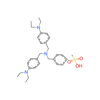 CCN(CC)c1ccc(CN(Cc2ccccc2)Cc2ccc(N(CC)CC)cc2)cc1.CS(=O)(=O)O